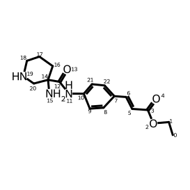 CCOC(=O)/C=C/c1ccc(NC(=O)C2(N)CCCNC2)cc1